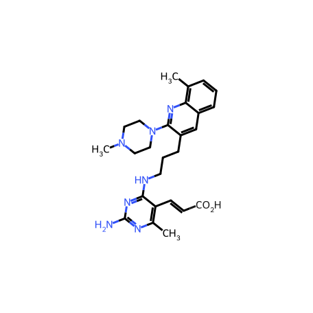 Cc1nc(N)nc(NCCCc2cc3cccc(C)c3nc2N2CCN(C)CC2)c1C=CC(=O)O